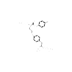 CCCCCCCCN(CCOc1ccc(CC(OCC)C(=O)O)cc1)C(=O)Oc1ccc(C)cc1